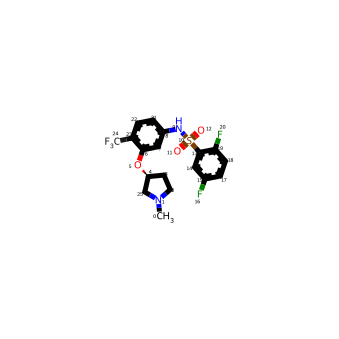 CN1CC[C@@H](Oc2cc(NS(=O)(=O)c3cc(F)ccc3F)ccc2C(F)(F)F)C1